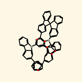 c1ccc(-c2ccc3c4ccccc4n(-c4nc(-c5ccc6c(c5)C5(c7ccccc7-6)c6ccccc6-c6ccc(-n7c8ccccc8c8ccccc87)cc65)nc(-n5c6ccccc6c6ccc(-c7ccccc7)cc65)n4)c3c2)cc1